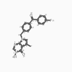 CCn1cnc2c(c(C)cn2Cc2ccc(C(=O)c3ccc(F)cc3)cc2)c1=O